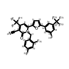 N#Cc1c(C(F)(F)F)cc(-c2ccc(-c3cc(F)cc(C(F)(F)F)c3)o2)n(Cc2ccc(F)cc2F)c1=O